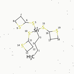 CCC[CH2][Sn]([S]C1CCS1)([S]C1CCS1)[S]C1CCS1